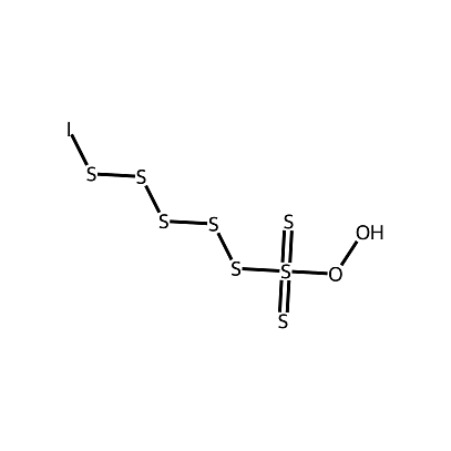 OOS(=S)(=S)SSSSSI